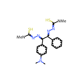 CN/C(S)=N/N=C(/C(=N/N=C(\S)NC)c1ccc(N(C)C)cc1)c1ccccc1